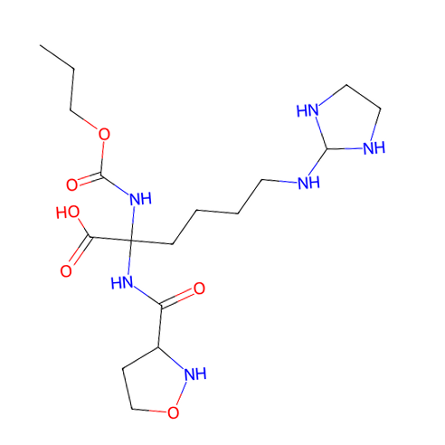 CCCOC(=O)NC(CCCCNC1NCCN1)(NC(=O)C1CCON1)C(=O)O